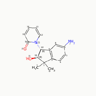 CC1(C)c2ccc(N)cc2[C@@H](n2ccccc2=O)[C@@H]1O